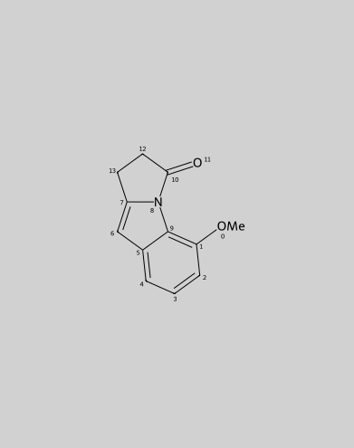 COc1cccc2cc3n(c12)C(=O)CC3